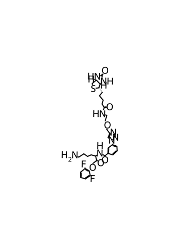 NCCCCC(NC(=O)c1cccc(-n2cc(COCCNC(=O)CCCC[C@@H]3SC[C@@H]4NC(=O)N[C@@H]43)nn2)c1)C(=O)COc1c(F)cccc1F